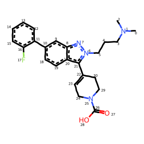 CN(C)CCCn1nc2cc(-c3ccccc3F)ccc2c1C1=CCN(C(=O)O)CC1